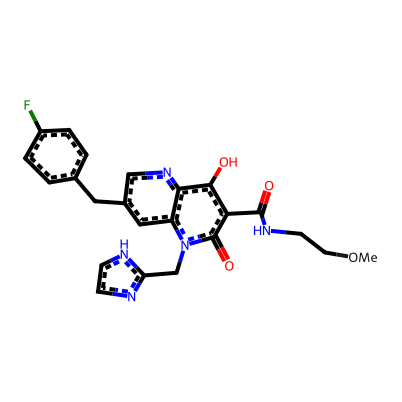 COCCNC(=O)c1c(O)c2ncc(Cc3ccc(F)cc3)cc2n(Cc2ncc[nH]2)c1=O